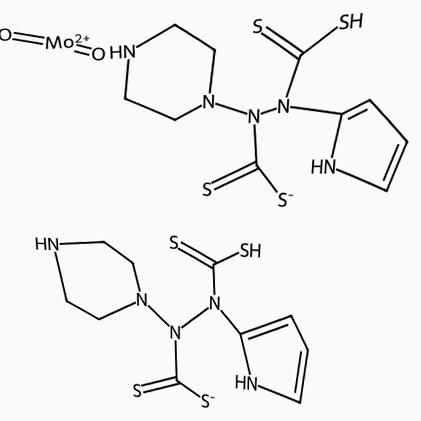 S=C(S)N(c1ccc[nH]1)N(C(=S)[S-])N1CCNCC1.S=C(S)N(c1ccc[nH]1)N(C(=S)[S-])N1CCNCC1.[O]=[Mo+2]=[O]